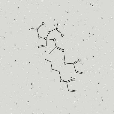 C=CC(=O)OC.C=CC(=O)OCCCC.C=C[Si](OC(C)=O)(OC(C)=O)OC(C)=O